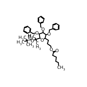 CCCCCC(=O)OCCCC1OC(C(C)(C)O[SiH2]C(C)(C)C)C(OCc2ccccc2)C(OCc2ccccc2)C1OCc1ccccc1